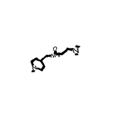 CN(C)CCC(=O)NCC1CCN(C)CC1